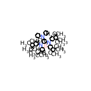 Cc1cc2c(cc1N1c3cc(C(C)(C)C)ccc3B3c4cc5c(cc4N(c4ccc6c(c4)C(C)(C)CC6(C)C)c4cc(N(c6ccccc6)c6ccccc6)cc1c43)C(C)(C)CC5(C)C)C(C)(C)CC2(C)C